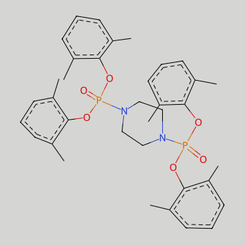 Cc1cccc(C)c1OP(=O)(Oc1c(C)cccc1C)N1CCN(P(=O)(Oc2c(C)cccc2C)Oc2c(C)cccc2C)CC1